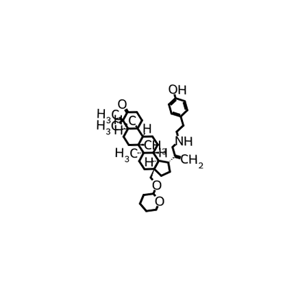 C=C(CNCCc1ccc(O)cc1)[C@@H]1CC[C@]2(COC3CCCCO3)CC[C@]3(C)[C@H](CC[C@@H]4[C@@]5(C)CCC(=O)C(C)(C)[C@@H]5CC[C@]43C)[C@@H]12